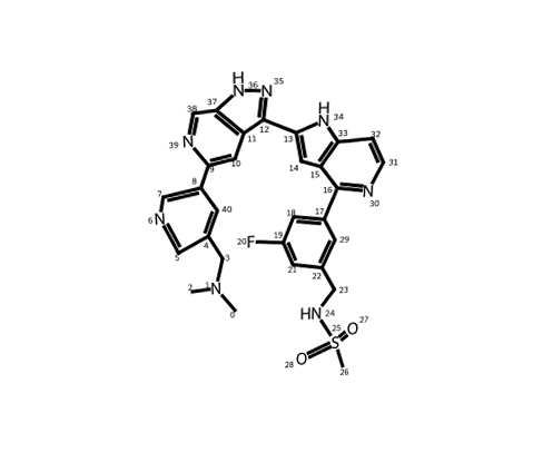 CN(C)Cc1cncc(-c2cc3c(-c4cc5c(-c6cc(F)cc(CNS(C)(=O)=O)c6)nccc5[nH]4)n[nH]c3cn2)c1